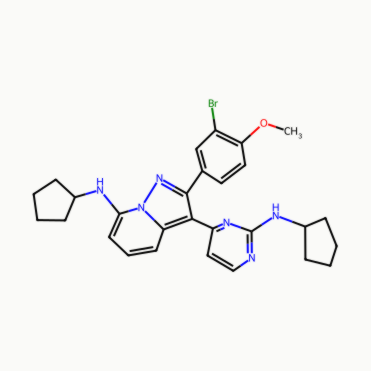 COc1ccc(-c2nn3c(NC4CCCC4)cccc3c2-c2ccnc(NC3CCCC3)n2)cc1Br